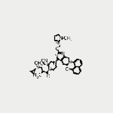 C=C(CN(C)C1CC1)C(=O)N1CCN(c2nc(OC[C@@H]3CCCN3C)nc3c2CCN(c2cccc4cccc(Cl)c24)C3)C[C@@H]1CC#N